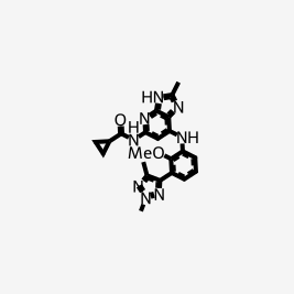 COc1c(Nc2cc(NC(=O)C3CC3)nc3[nH]c(C)nc23)cccc1-c1nn(C)nc1C